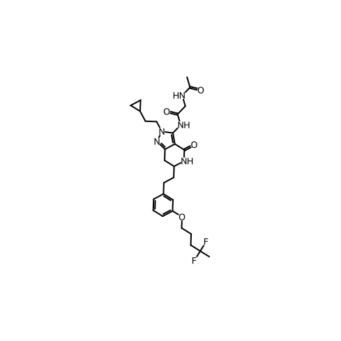 CC(=O)NCC(=O)Nc1c2c(nn1CCC1CC1)CC(CCc1cccc(OCCCC(C)(F)F)c1)NC2=O